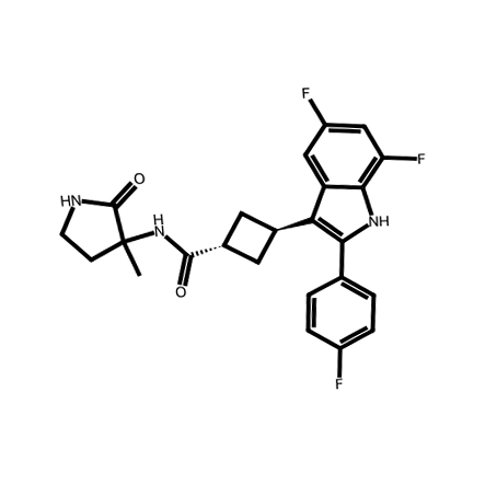 CC1(NC(=O)[C@H]2C[C@H](c3c(-c4ccc(F)cc4)[nH]c4c(F)cc(F)cc43)C2)CCNC1=O